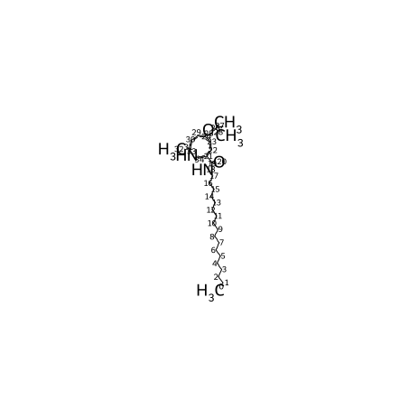 CCCCCCCCCCCCCCCCCCNC(=O)c1ccc(OC(C)C)ccc(C)[nH]c1